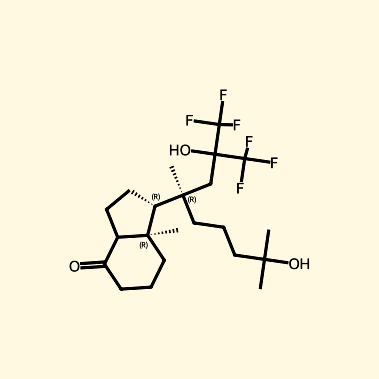 CC(C)(O)CCC[C@](C)(CC(O)(C(F)(F)F)C(F)(F)F)[C@H]1CCC2C(=O)CCC[C@@]21C